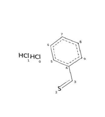 Cl.Cl.S=Cc1ccccc1